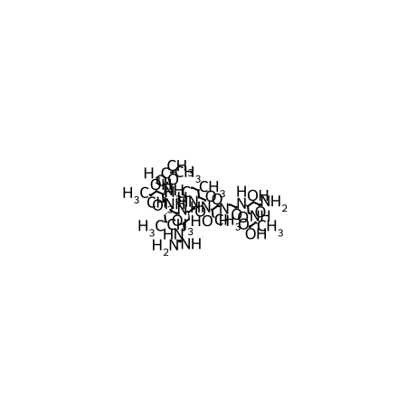 CC[C@H](C)[C@H](NC(=O)[C@@H](CCCNC(=N)N)NC(=O)[C@H](CC(C)C)NC(=O)[C@@H](NC(=O)OC(C)(C)C)[C@H](O)C(C)C)C(=O)N[C@H](C(=O)NCC(=O)N[C@H](C(=O)N[C@@H](C)C(=O)O)[C@H](O)C(N)=O)[C@H](C)O